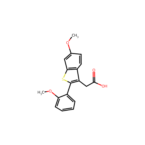 COc1ccc2c(CC(=O)O)c(-c3ccccc3OC)sc2c1